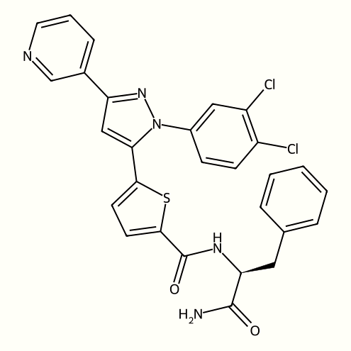 NC(=O)[C@H](Cc1ccccc1)NC(=O)c1ccc(-c2cc(-c3cccnc3)nn2-c2ccc(Cl)c(Cl)c2)s1